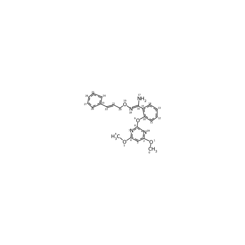 COc1cc(OC)nc(Oc2ccccc2C(N)=NOCC=Cc2ccccc2)n1